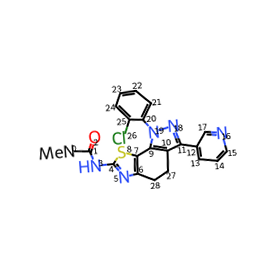 CNC(=O)Nc1nc2c(s1)-c1c(c(-c3cccnc3)nn1-c1ccccc1Cl)CC2